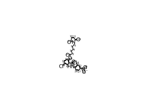 O=C(CCCCCN1C(=O)C=CC1=O)Oc1ccc(Cl)cc1C(=O)Nc1ccc([N+](=O)[O-])cc1Cl